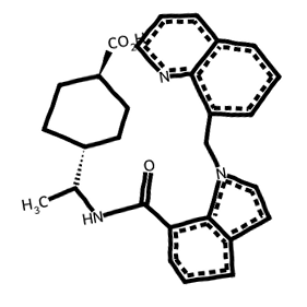 CC(NC(=O)c1cccc2ccn(Cc3cccc4cccnc34)c12)[C@H]1CC[C@H](C(=O)O)CC1